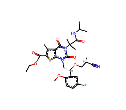 CCOC(=O)c1sc2c(c1C)c(=O)n(C(C)(C)C(=O)NC(C)C)c(=O)n2C[C@H](OC[C@H](C)C#N)c1cc(F)ccc1OC